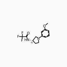 COc1cccc(N2CC[C@H](NC(=O)C(F)(F)F)C2)c1